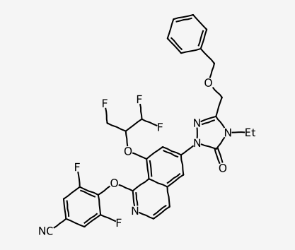 CCn1c(COCc2ccccc2)nn(-c2cc(OC(CF)C(F)F)c3c(Oc4c(F)cc(C#N)cc4F)nccc3c2)c1=O